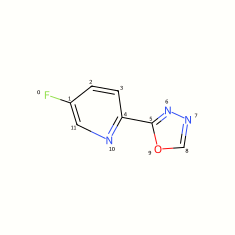 Fc1ccc(-c2nnco2)nc1